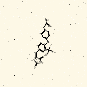 O=C(O)Cc1ccc(Oc2ccc(/C=C3/SC(=O)NC3=O)cc2C(F)(F)F)cc1